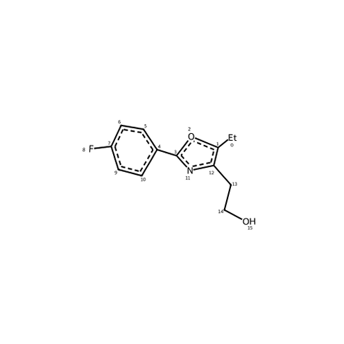 CCc1oc(-c2ccc(F)cc2)nc1CCO